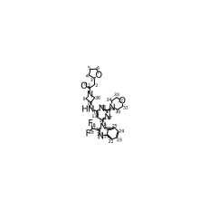 O=C(CC1CCCO1)N1CC(Nc2cc(-n3c(C(F)F)nc4ccccc43)nc(N3CCOCC3)n2)C1